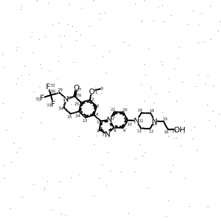 COc1cc(-c2cnc3cc(N4CCN(CCO)CC4)ccn23)cc2c1C(=O)N(CC(F)(F)F)CC2